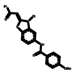 CCN1/C(=C/C(=O)C(C)C)Sc2ccc(NC(=O)c3ccc(OC)cc3)cc21